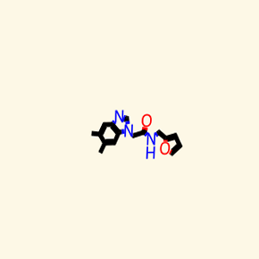 Cc1cc2ncn(CC(=O)NCc3ccco3)c2cc1C